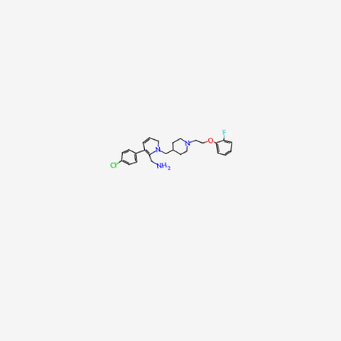 NCC1=C(c2ccc(Cl)cc2)C=CCN1CC1CCN(CCOc2ccccc2F)CC1